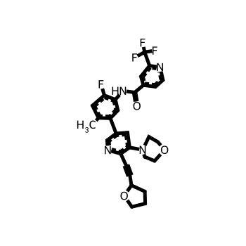 Cc1cc(F)c(NC(=O)c2ccnc(C(F)(F)F)c2)cc1-c1cnc(C#CC2CCCO2)c(N2CCOCC2)c1